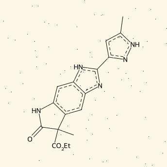 CCOC(=O)C1(C)C(=O)Nc2cc3[nH]c(-c4cc(C)[nH]n4)nc3cc21